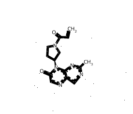 C=CC(=O)N1CC[C@H](n2c(=O)cnc3cnc(C)nc32)C1